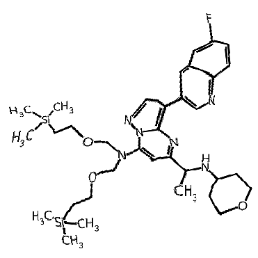 CC(NC1CCOCC1)c1cc(N(COCC[Si](C)(C)C)COCC[Si](C)(C)C)n2ncc(-c3cnc4ccc(F)cc4c3)c2n1